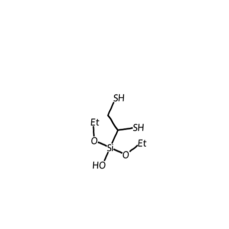 CCO[Si](O)(OCC)C(S)CS